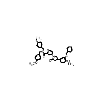 COc1ccc(CN(Cc2ccc(OC)cc2)C(=O)c2cc(N3CC(c4ccc(OC)c(OCc5ccccc5)c4)CC3=O)ccn2)cc1